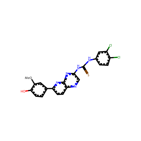 COc1cc(-c2ccc3ncc(NC(=S)Nc4ccc(Cl)c(Cl)c4)nc3n2)ccc1O